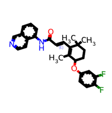 CC1=C(/C=C/C(=O)Nc2cccc3cnccc23)C(C)(C)CCC1Oc1ccc(F)c(F)c1